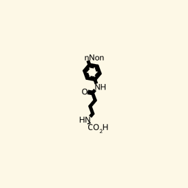 CCCCCCCCCc1ccc(NC(=O)CCCNC(=O)O)cc1